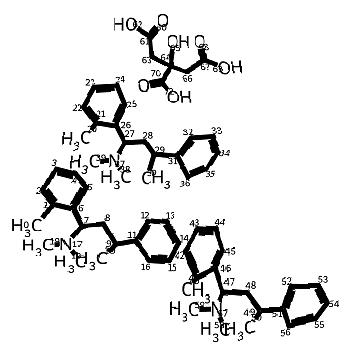 Cc1ccccc1C(CC(C)c1ccccc1)N(C)C.Cc1ccccc1C(CC(C)c1ccccc1)N(C)C.Cc1ccccc1C(CC(C)c1ccccc1)N(C)C.O=C(O)CC(O)(CC(=O)O)C(=O)O